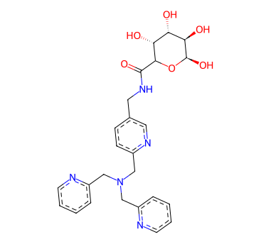 O=C(NCc1ccc(CN(Cc2ccccn2)Cc2ccccn2)nc1)C1O[C@H](O)[C@H](O)[C@@H](O)[C@H]1O